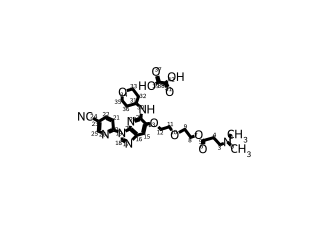 CN(C)CCC(=O)OCCOCCOc1cc2ncn(-c3ccc(C#N)cn3)c2nc1NC1CCOCC1.O=C(O)C(=O)O